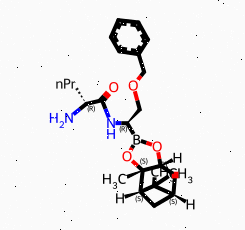 CCC[C@@H](N)C(=O)N[C@@H](COCc1ccccc1)B1O[C@@H]2C[C@@H]3C[C@@H](C3(C)C)[C@]2(C)O1